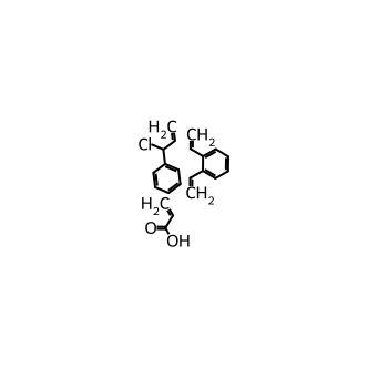 C=CC(=O)O.C=CC(Cl)c1ccccc1.C=Cc1ccccc1C=C